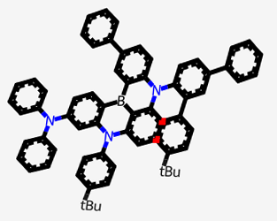 CC(C)(C)c1ccc(-c2cc(-c3ccccc3)ccc2N2c3ccc(-c4ccccc4)cc3B3c4ccc(N(c5ccccc5)c5ccccc5)cc4N(c4ccc(C(C)(C)C)cc4)c4cccc2c43)cc1